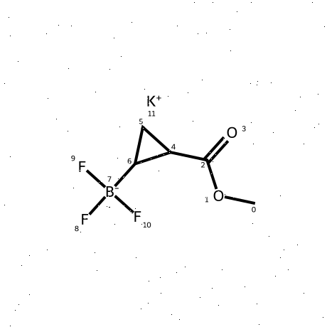 COC(=O)C1CC1[B-](F)(F)F.[K+]